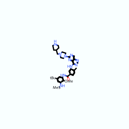 COc1c(NSC)cc(C(C)(C)C)cc1NC(=O)c1ccc(C)c(Nc2ncnc3cnc(N4CCN(CC5CCNCC5)CC4)nc23)c1